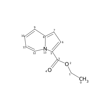 CCOC(=O)c1ccc2ccccn12